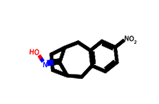 O=[N+]([O-])c1ccc2c(c1)CC1CCC(C2)C1=NO